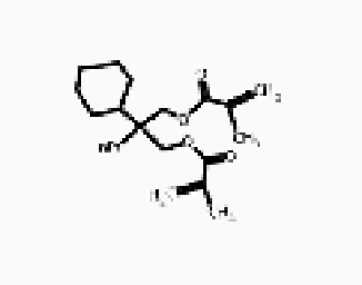 C=C(C)C(=O)OCC(CCC)(COC(=O)C(=C)C)C1CCCCC1